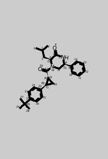 CC(C)C[C@H]1C(=O)N[C@@H](c2ccccc2)CN1C(=O)[C@@H]1C[C@H]1c1ccc(C(C)(C)C)cc1